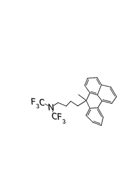 CC1(CCCCN(C(F)(F)F)C(F)(F)F)c2ccccc2-c2cccc3cccc1c23